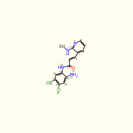 CCNc1ncccc1/C=C/C(=O)Nc1cc(Cl)c(Cl)cc1N